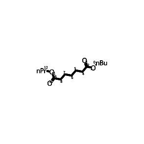 CCCCOC(=O)CCCCCC(=O)OCCC